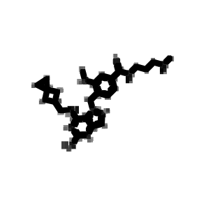 CNCCCNC(=O)c1ccc(Cn2ncc3nc(N)nc(NCC4CC5(CC5)C4)c32)c(OC)c1